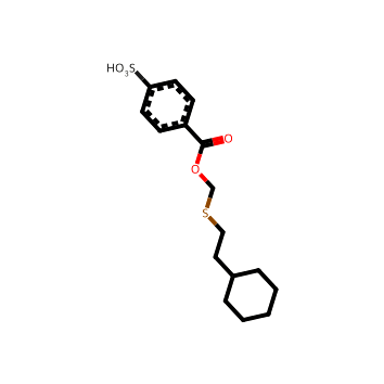 O=C(OCSCCC1CCCCC1)c1ccc(S(=O)(=O)O)cc1